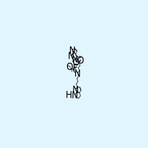 COC[C@@H](F)CN(CCCCc1ccc2c(n1)NCCC2)CCCC(=O)O[n+]1cnc2c(ccn2C)c1C